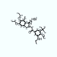 Br.CCNc1cc(C(=O)CN2Cc3cc(OCC)c(OCC)c(F)c3C2=N)cc(C(C)(C)C)c1OC